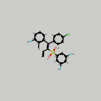 C=C/C(=C(/c1ccc(Cl)cc1)c1cccc(F)c1C)S(=O)(=O)c1cc(F)cc(F)c1